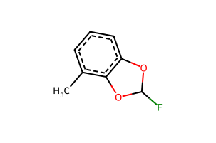 Cc1cccc2c1OC(F)O2